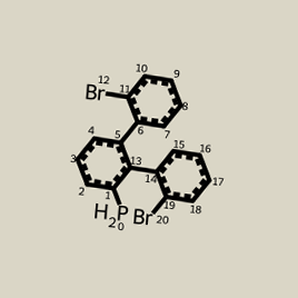 Pc1cccc(-c2ccccc2Br)c1-c1ccccc1Br